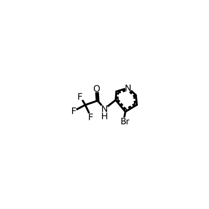 O=C(Nc1cnccc1Br)C(F)(F)F